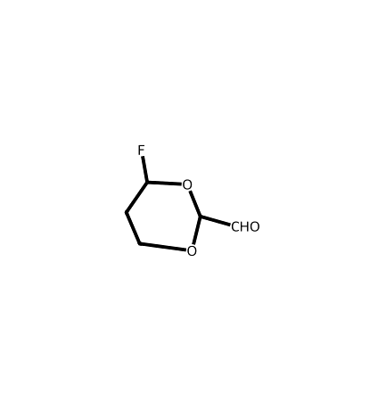 O=CC1OCCC(F)O1